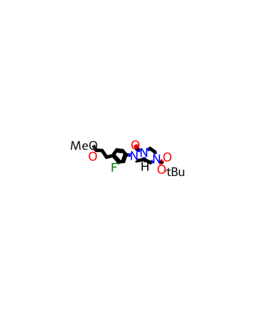 COC(=O)CCc1ccc(N2C[C@@H]3CN(C(=O)OC(C)(C)C)CCN3C2=O)cc1F